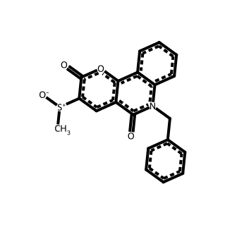 C[S+]([O-])c1cc2c(=O)n(Cc3ccccc3)c3ccccc3c2oc1=O